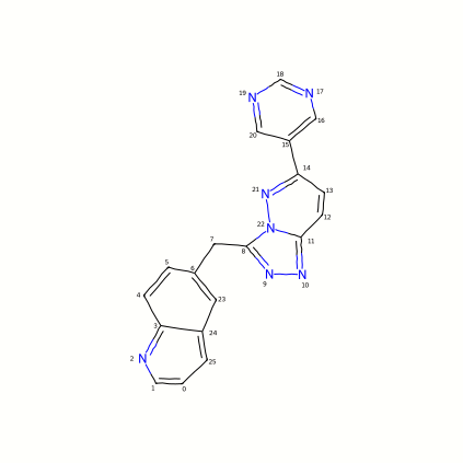 c1cnc2ccc(Cc3nnc4ccc(-c5cncnc5)nn34)cc2c1